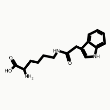 NC(CCCCNC(=O)Cc1c[nH]c2ccccc12)C(=O)O